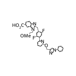 COCCn1c(Cc2cc(F)c(-c3cccc(OCc4cn(-c5ccccc5)cn4)n3)cc2F)nc2ccc(C(=O)O)cc21